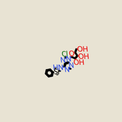 C[Si](C)(CNc1ncnc2c1nc(Cl)n2C1OC(CO)C(O)C1O)c1ccccc1